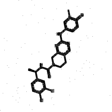 C[C@@H](NC(=O)N1CCc2cnc(Nc3ccc(=O)n(C)c3)nc2C1)c1ccc(Cl)c(Cl)c1